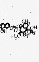 C=C[C@]1(C)C[C@@H](OC(=O)COc2ccc3c(c2)B(O)ON=C3)[C@@]2(C)C[C@](C[C@H](O)C(C)=O)(CC[C@H]2C)[C@@H](C)[C@@H]1O